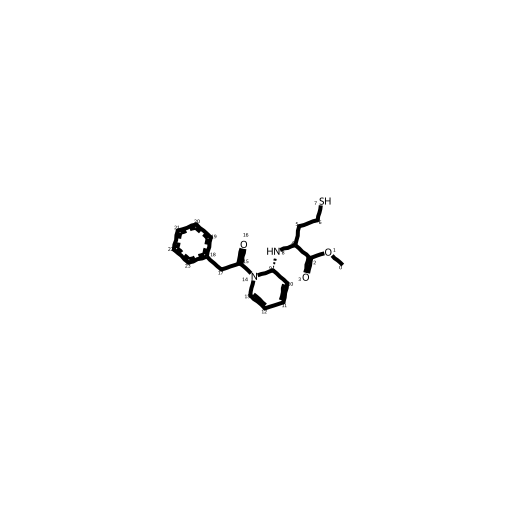 COC(=O)C(CCS)N[C@@H]1C=CC=CN1C(=O)Cc1ccccc1